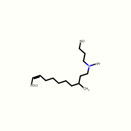 CCCCCCCC/C=C\CCCCCC(C)CCN(CCC)CCCN=O